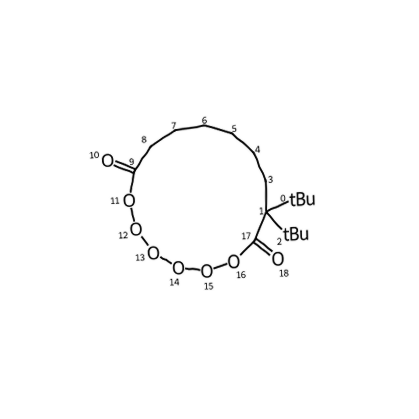 CC(C)(C)C1(C(C)(C)C)CCCCCCC(=O)OOOOOOC1=O